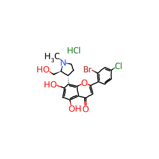 CN1CC[C@H](c2c(O)cc(O)c3c(=O)cc(-c4ccc(Cl)cc4Br)oc23)[C@H]1CO.Cl